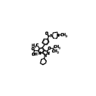 Cc1c(C(=O)O)nc2c(c(OC(C)C)nn2C2CCCCC2)c1-c1ccc(C(=O)N2CCN(C)CC2)cc1